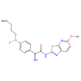 CCOc1ccc2nc(NC(=O)C(=N)c3ccc([S+]([O-])CCCOC)cc3)sc2n1